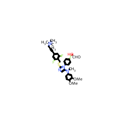 COc1ccc(N(C)c2cnc(SCc3c(F)cc(C#CC[N+](C)(C)C)cc3F)n2-c2ccc(F)cc2)cc1OC.O=CO